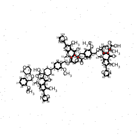 COc1cc(C2CCC(C(=O)O)(c3nn(C[C@@H](OC4CCOCC4)c4ccccc4OC)c4sc(-c5ncco5)c(C)c4c3=O)CC2)ccc1[C@H](Cn1nc(C(C)(Cc2ccc([C@@H](Cn3nc(C(C)(C)C(=O)O)c(=O)c4c(C)c(-c5ncco5)sc43)OC3CCOCC3)c(OC)c2)C(=O)O)c(=O)c2c(C)c(-c3ncco3)sc21)OC1CCOCC1